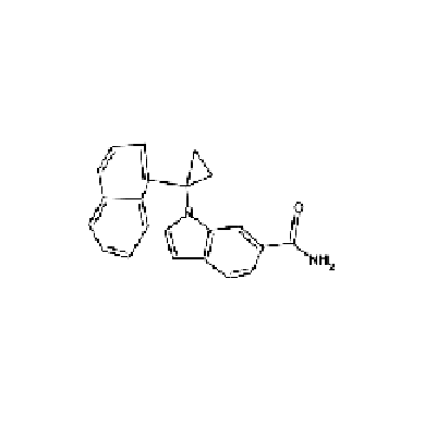 NC(=O)c1ccc2ccn(C3(c4cccc5ccccc45)CC3)c2c1